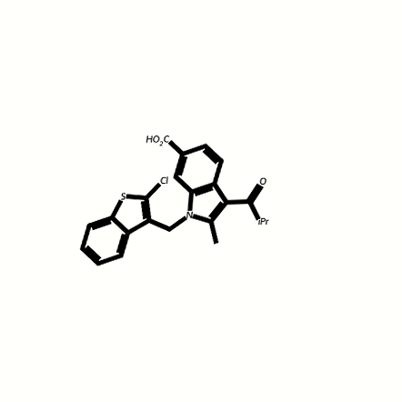 Cc1c(C(=O)C(C)C)c2ccc(C(=O)O)cc2n1Cc1c(Cl)sc2ccccc12